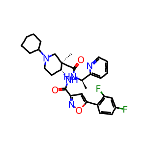 C[C@@H](NC(=O)[C@]1(C)CN(C2CCCCC2)CC[C@H]1NC(=O)c1cc(-c2ccc(F)cc2F)on1)c1ccccn1